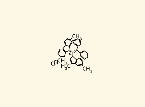 CC1=C[CH]([Zr+2](=[C](c2ccccc2)c2ccccc2)[CH]2c3cc(C)ccc3-c3ccc(C)cc32)c2ccc(C)cc21.[Cl-].[Cl-]